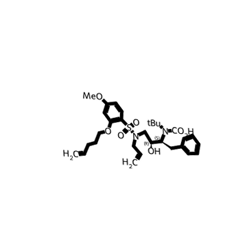 C=CCCCOc1cc(OC)ccc1S(=O)(=O)N(CC=C)C[C@@H](O)[C@H](Cc1ccccc1)N(C(=O)O)C(C)(C)C